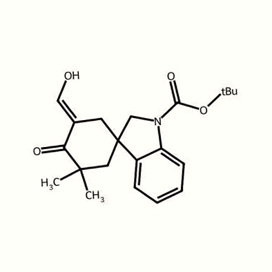 CC(C)(C)OC(=O)N1CC2(CC(=CO)C(=O)C(C)(C)C2)c2ccccc21